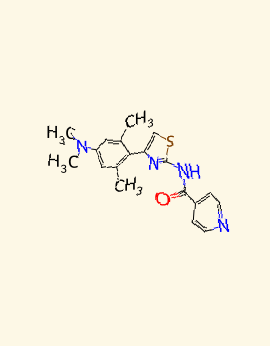 Cc1cc(N(C)C)cc(C)c1-c1csc(NC(=O)c2ccncc2)n1